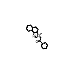 C[SH]1(=CC(=O)c2ccccc2)C=Nc2c1ccc1ccccc21